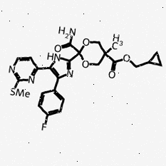 CSc1nccc(-c2[nH]c(C3(C(N)=O)OCC(C)(C(=O)OCC4CC4)CO3)nc2-c2ccc(F)cc2)n1